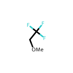 [C]OCC(F)(F)F